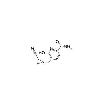 N#CC1CN1Cc1ccc(C(N)=O)nc1O